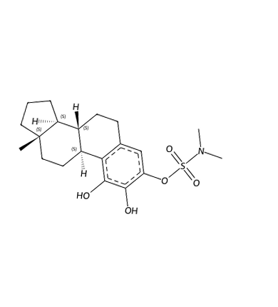 CN(C)S(=O)(=O)Oc1cc2c(c(O)c1O)[C@H]1CC[C@]3(C)CCC[C@H]3[C@@H]1CC2